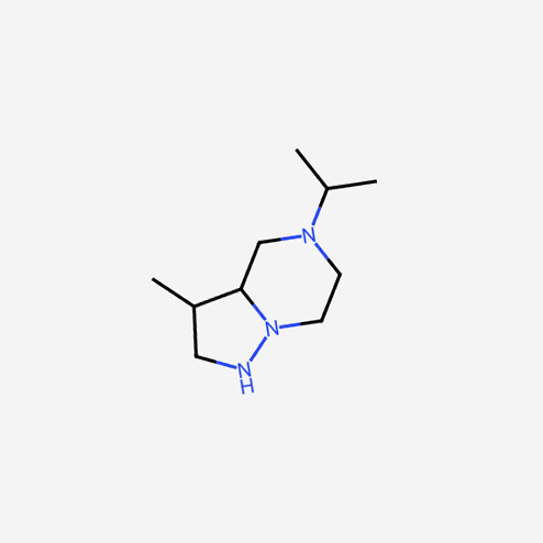 CC1CNN2CCN(C(C)C)CC12